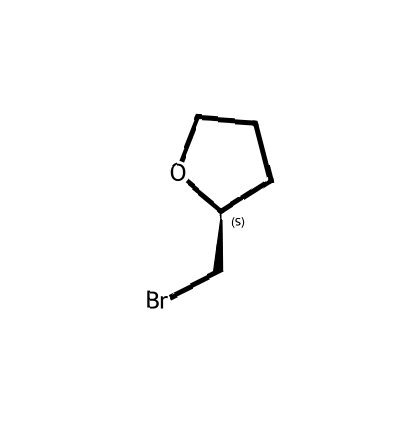 BrC[C@@H]1CCCO1